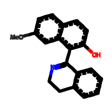 COc1ccc2ccc(O)c(C3=NCCc4ccccc43)c2c1